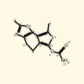 Cc1nc2c(o1)-c1c(C)sc(OC(N)=O)c1CC2